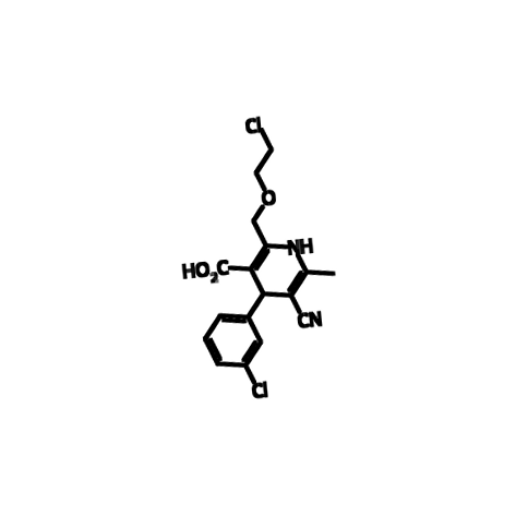 CC1=C(C#N)C(c2cccc(Cl)c2)C(C(=O)O)=C(COCCCl)N1